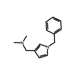 CN(C)Cc1ccn(Cc2ccccc2)c1